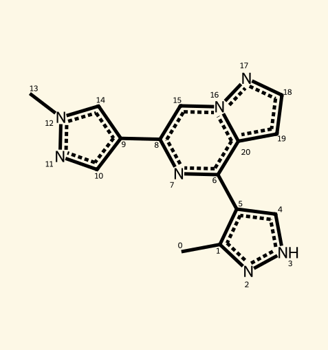 Cc1n[nH]cc1-c1nc(-c2cnn(C)c2)cn2nccc12